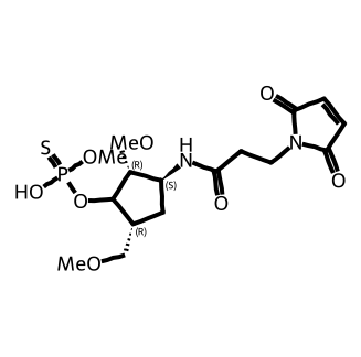 COC[C@H]1C[C@H](NC(=O)CCN2C(=O)C=CC2=O)[C@@H](OC)C1OP(O)(=S)OC